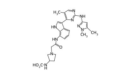 Cc1cnc(Nc2cc(C)n(C)n2)nc1-c1c[nH]c2c(NC(=O)CN3CCC(NC(=O)O)C3)cccc12